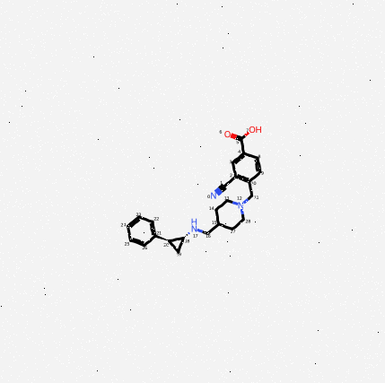 N#Cc1cc(C(=O)O)ccc1CN1CCC(CN[C@@H]2C[C@H]2c2ccccc2)CC1